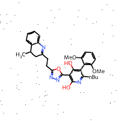 CCCCc1nc(O)c(-c2nnc(CCC3=Nc4ccccc4C(C)C3)o2)c(O)c1-c1c(OC)cccc1OC